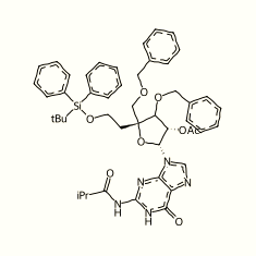 CC(=O)O[C@H]1C(OCc2ccccc2)[C@@](CCO[Si](c2ccccc2)(c2ccccc2)C(C)(C)C)(COCc2ccccc2)O[C@H]1n1cnc2c(=O)[nH]c(NC(=O)C(C)C)nc21